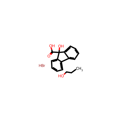 Br.CCCO.O=C(O)C1(O)c2ccccc2-c2ccccc21